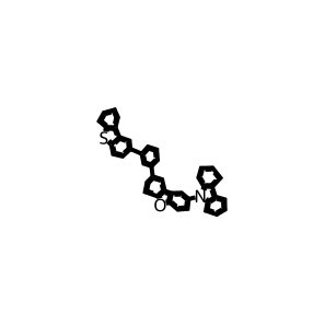 c1cc(-c2ccc3oc4ccc(-n5c6ccccc6c6ccccc65)cc4c3c2)cc(-c2ccc3sc4ccccc4c3c2)c1